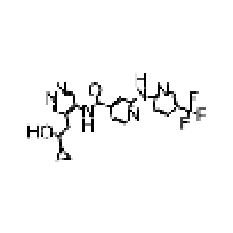 O=C(Nc1cnncc1CC(O)C1CC1)c1ccnc(Nc2ccc(C(F)(F)F)cn2)c1